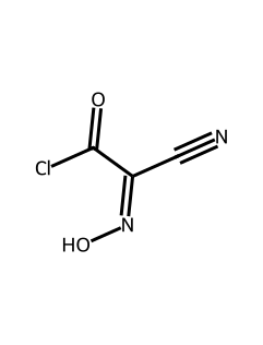 N#C/C(=N/O)C(=O)Cl